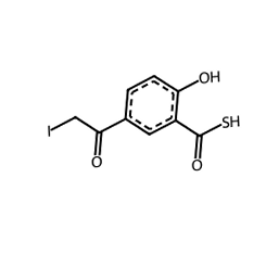 O=C(CI)c1ccc(O)c(C(=O)S)c1